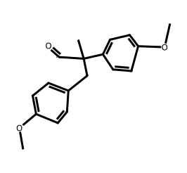 COc1ccc(CC(C)([C]=O)c2ccc(OC)cc2)cc1